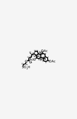 CC(=O)OC1CCC2(C)C(C1)CC(OC(C)=O)[C@@H]1[C@@H]2CC(OC(C)=O)[C@]2(C)[C@@H]([C@H](C)CCC(=O)OCCS(=O)(=O)O)CC[C@@H]12